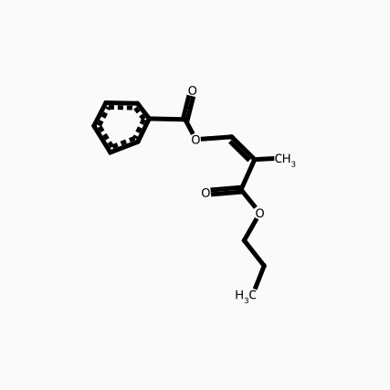 CCCOC(=O)C(C)=COC(=O)c1ccccc1